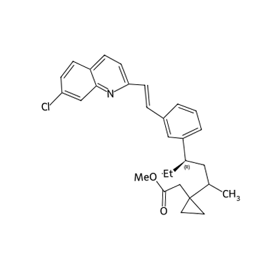 C[CH][C@H](CC(C)C1(CC(=O)OC)CC1)c1cccc(C=Cc2ccc3ccc(Cl)cc3n2)c1